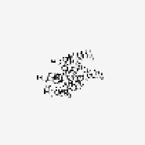 CC(C)(C)c1ccc(N(c2ccc(C(C)(C)C)cc2)c2ccc3c(c2)N(c2cccc4c2Cc2ccccc2-4)c2cc(N4c5ccc(C(C)(C)C)cc5C5(C)CCCCC45C)cc4c2B3c2cc(C(C)(C)C)ccc2N4c2ccc(C(C)(C)C)cc2)cc1